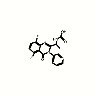 CC(NC(=O)O)c1nc2c(F)ccc(Br)c2c(=O)n1-c1cccnc1